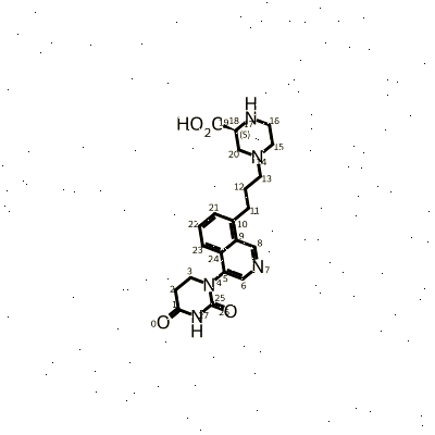 O=C1CCN(c2cncc3c(CCCN4CCN[C@H](C(=O)O)C4)cccc23)C(=O)N1